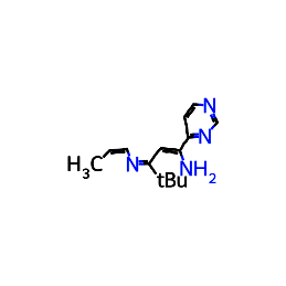 C\C=C/N=C(\C=C(/N)c1ccncn1)C(C)(C)C